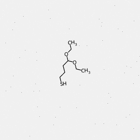 CCOC(CCCS)OCC